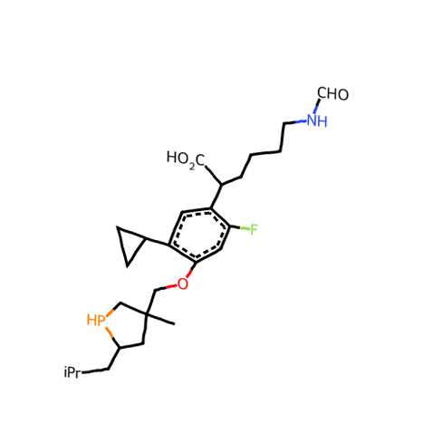 CC(C)CC1CC(C)(COc2cc(F)c(C(CCCCNC=O)C(=O)O)cc2C2CC2)CP1